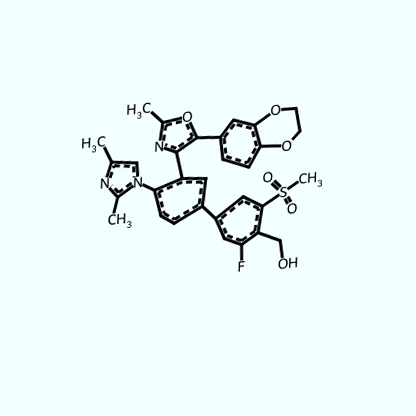 Cc1cn(-c2ccc(-c3cc(F)c(CO)c(S(C)(=O)=O)c3)cc2-c2nc(C)oc2-c2ccc3c(c2)OCCO3)c(C)n1